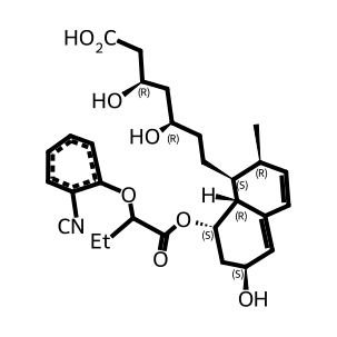 CCC(Oc1ccccc1C#N)C(=O)O[C@H]1C[C@H](O)C=C2C=C[C@H](C)[C@H](CC[C@@H](O)C[C@@H](O)CC(=O)O)[C@H]21